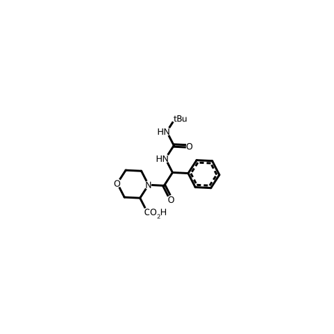 CC(C)(C)NC(=O)NC(C(=O)N1CCOCC1C(=O)O)c1ccccc1